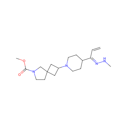 C=C/C(=N\NC)C1CCN(C2CC3(CCN(C(=O)OC)C3)C2)CC1